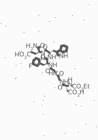 CCOC(=O)N[C@H](CC(=O)O)C(=O)NCC(=O)NCC(=O)N[C@@H](Cc1cccc(F)c1)C(=O)N[C@@H](Cc1c[nH]c2ccccc12)C(=O)N[C@@H](CCC(=O)O)C(N)=O